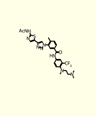 CC(=O)Nc1ncc(-c2cn(-c3cc(C(=O)Nc4ccc(N(C)CCN(C)C)c(C(F)(F)F)c4)ccc3C)nn2)s1